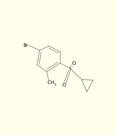 Cc1cc(Br)ccc1S(=O)(=O)C1CC1